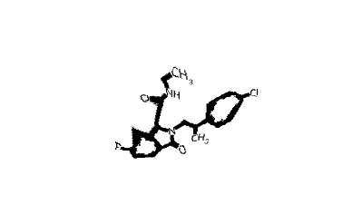 CCNC(=O)C1c2cc(F)ccc2C(=O)N1CC(C)c1ccc(Cl)cc1